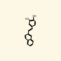 Oc1ccc(C=Cc2ccc3ccccc3c2)cc1O